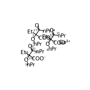 CCCOC(CC)(C(=O)[O-])C(=O)CCC.CCCOC(CC)(C(=O)[O-])C(=O)CCC.CCCOC(CC)(C(=O)[O-])C(=O)CCC.[Ga+3]